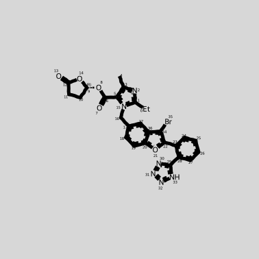 CCc1nc(C)c(C(=O)O[C@@H]2CCC(=O)O2)n1Cc1ccc2oc(-c3ccccc3-c3nnn[nH]3)c(Br)c2c1